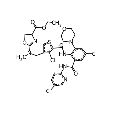 CCOC(=O)C1COC(N(C)Cc2csc(C(=O)Nc3c(C(=O)Nc4ccc(Cl)cn4)cc(Cl)cc3N3CCOCC3)c2Cl)=N1